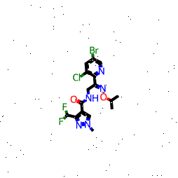 CC(C)ON=C(CNC(=O)c1cn(C)nc1C(F)F)c1ncc(Br)cc1Cl